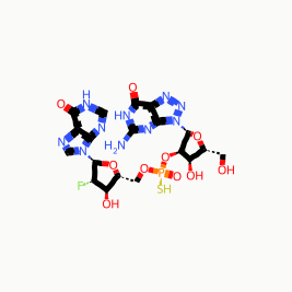 Nc1nc2c(nnn2[C@@H]2O[C@H](CO)[C@@H](O)[C@H]2O[P@](=O)(S)OC[C@H]2O[C@@H](n3cnc4c(=O)[nH]cnc43)[C@@H](F)[C@@H]2O)c(=O)[nH]1